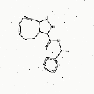 C[C@@H](NC(=O)C1NNC2/C=C\C=C/CCC21)c1ccccn1